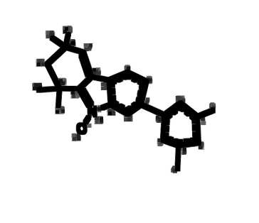 Cc1cc(C)cc(-c2ccc3c(c2)[N+]([O-])=C2C3=CC(C)(C)CC2(C)C)c1